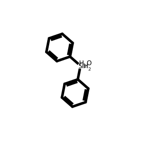 O.c1ccc([SiH2]c2ccccc2)cc1